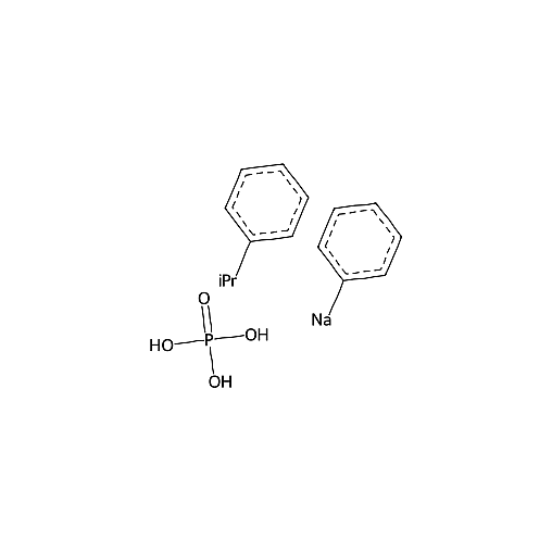 CC(C)c1ccccc1.O=P(O)(O)O.[Na][c]1ccccc1